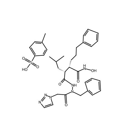 CC(C)C[C@@H](C(=O)NN(Cc1ccccc1)C(=O)Cn1ccnn1)[C@H](CCCc1ccccc1)C(=O)NO.Cc1ccc(S(=O)(=O)O)cc1